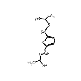 CC(S)S[Se]c1ccc([Se]SC(C)S)s1